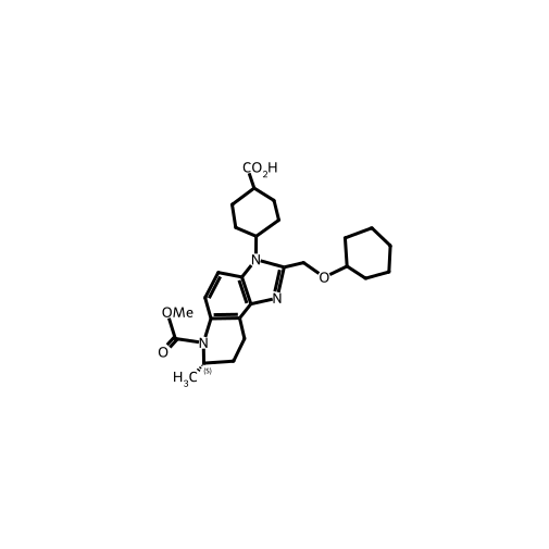 COC(=O)N1c2ccc3c(nc(COC4CCCCC4)n3C3CCC(C(=O)O)CC3)c2CC[C@@H]1C